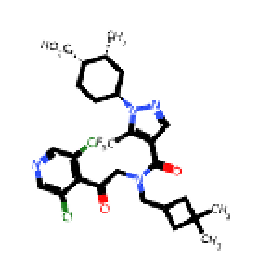 C[C@@H]1C[C@@H](n2ncc(C(=O)N(CC(=O)c3c(Cl)cncc3Cl)CC3CC(C)(C)C3)c2C(F)(F)F)CC[C@@H]1C(=O)O